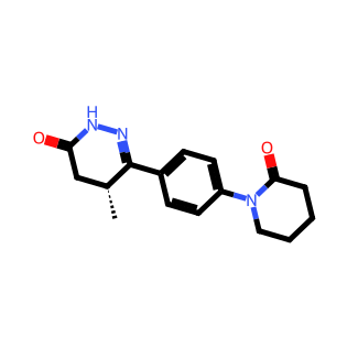 C[C@@H]1CC(=O)NN=C1c1ccc(N2CCCCC2=O)cc1